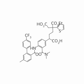 CCOC(=O)C(CCC(C(=O)O)c1ccc(NC(=O)c2ccc(C)cc2-c2ccc(C(F)(F)F)cc2)c(C(=O)N(C)C)c1)(CC(=O)O)c1cccs1